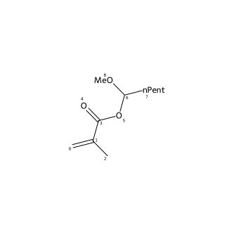 C=C(C)C(=O)OC(CCCCC)OC